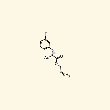 C=CCOC(=O)/C(=C/c1cccc(F)c1)C(C)=O